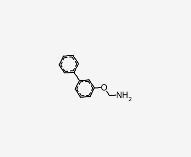 NCOc1cccc(-c2ccccc2)c1